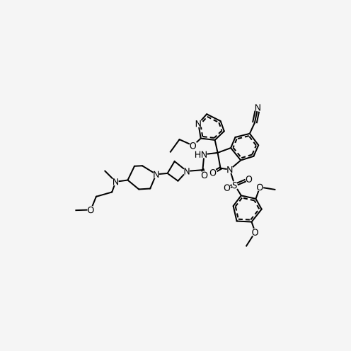 CCOc1ncccc1C1(NC(=O)N2CC(N3CCC(N(C)CCOC)CC3)C2)C(=O)N(S(=O)(=O)c2ccc(OC)cc2OC)c2ccc(C#N)cc21